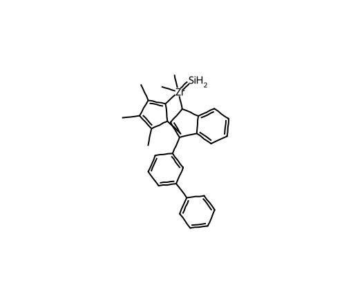 CC1=C(C)C(C)[C]([Zr]([CH3])([CH3])(=[SiH2])[CH]2C=C(c3cccc(-c4ccccc4)c3)c3ccccc32)=C1C